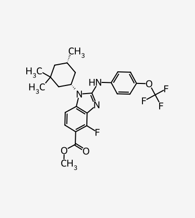 COC(=O)c1ccc2c(nc(Nc3ccc(OC(F)(F)F)cc3)n2[C@H]2C[C@@H](C)CC(C)(C)C2)c1F